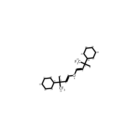 CC(C=COC=CC(C)(C1CCCCC1)C(F)(F)F)(C1CCCCC1)C(F)(F)F